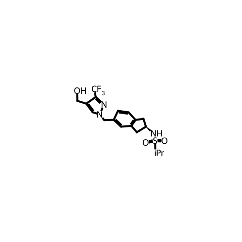 CC(C)S(=O)(=O)N[C@@H]1Cc2ccc(Cn3cc(CO)c(C(F)(F)F)n3)cc2C1